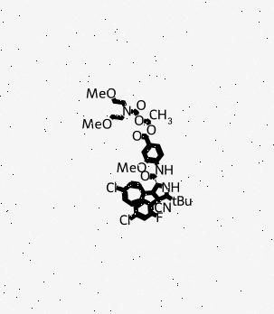 COCCN(CCOC)C(=O)OC(C)OC(=O)c1ccc(NC(=O)[C@@H]2NC(C(C)(C)C)[C@](C#N)(c3ccc(Cl)cc3F)C2C2C#CC(Cl)=CC=C2)c(OC)c1